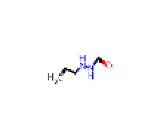 C=CCNN[C]=O